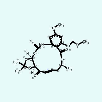 COCOc1cc(OC)cc2c1C(=O)C[C@@H](C)C/C=C/C(=O)[C@H]1OC(C)(C)O[C@H]1CC(=O)N2